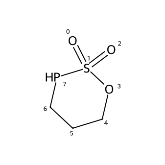 O=S1(=O)OCCCP1